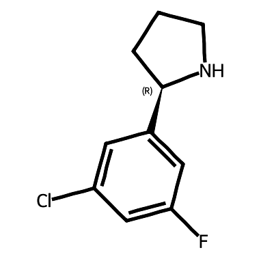 Fc1cc(Cl)cc([C@H]2CCCN2)c1